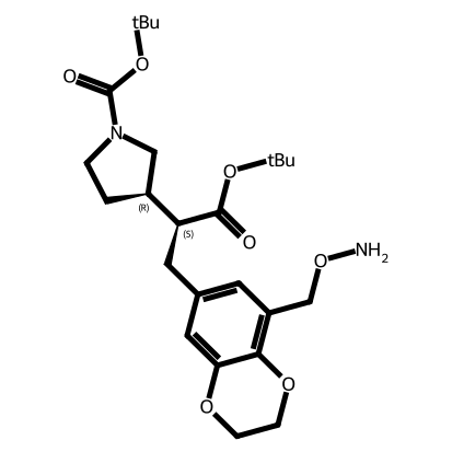 CC(C)(C)OC(=O)[C@@H](Cc1cc(CON)c2c(c1)OCCO2)[C@H]1CCN(C(=O)OC(C)(C)C)C1